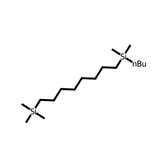 CCCC[Si](C)(C)CCCCCCCC[Si](C)(C)C